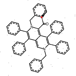 O=CC(=O)C1=C2C(=CN(Cc3ccccc3)C(c3ccccc3)=C2c2ccccc2)C(c2ccccc2)=C(c2ccccc2)N1Cc1ccccc1